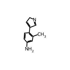 Cc1cc(N)ccc1C1=CCN=C1